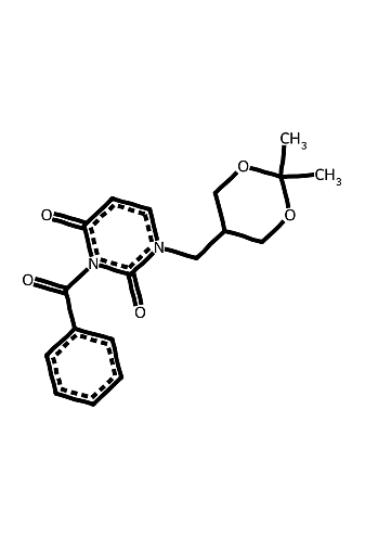 CC1(C)OCC(Cn2ccc(=O)n(C(=O)c3ccccc3)c2=O)CO1